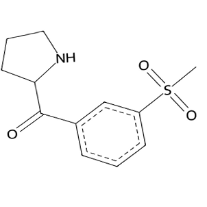 CS(=O)(=O)c1cccc(C(=O)C2CCCN2)c1